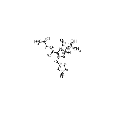 C=C(Cl)COC(=O)C1=C(S[C@H]2CC[S@@+]([O-])C2)S[C@H]2[C@@H]([C@@H](C)O)C(=O)N12